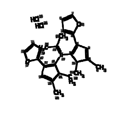 CC1=CC(c2ccco2)=[C]([Ti]([C]2=C(c3ccco3)C=C(C)C2C)=[C](C)C)C1C.Cl.Cl